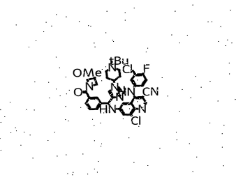 COC1CN(C(=O)c2cccc(C(Nc3cc(Cl)c4ncc(C#N)c(Nc5ccc(F)c(Cl)c5)c4c3)c3cn(C4CCN(C(C)(C)C)CC4)nn3)c2)C1